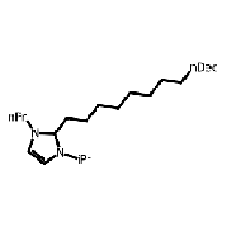 CCCCCCCCCCCCCCCCCCC1N(CCC)C=CN1C(C)C